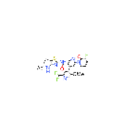 COc1cnc(C(F)F)cc1-c1cc(-n2cccc(F)c2=O)ncc1C(=O)Nc1nc2c(s1)CCC(C(C)=O)N2